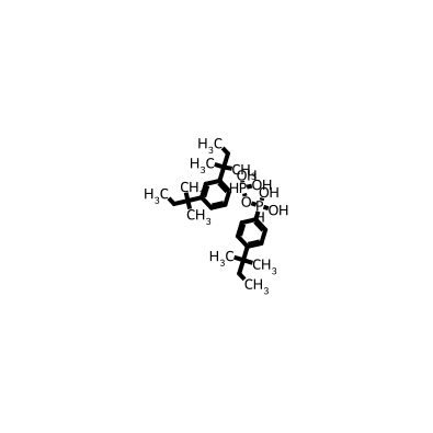 CCC(C)(C)c1ccc([PH](O)(O)O[PH](O)(O)c2ccc(C(C)(C)CC)cc2C(C)(C)CC)cc1